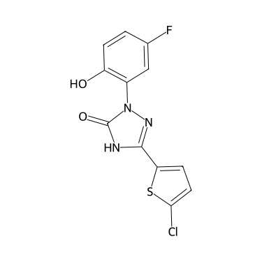 O=c1[nH]c(-c2ccc(Cl)s2)nn1-c1cc(F)ccc1O